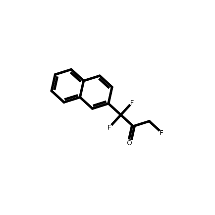 O=C(CF)C(F)(F)c1ccc2ccccc2c1